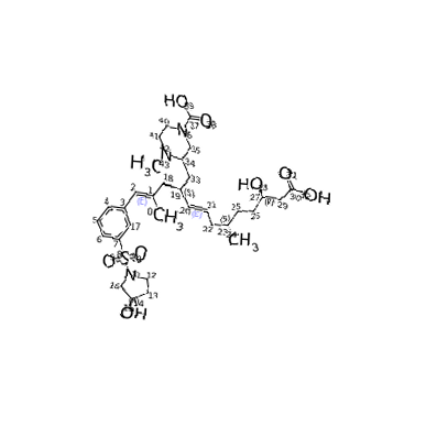 C/C(=C\c1cccc(S(=O)(=O)N2CC[C@@H](O)C2)c1)C[C@H](/C=C/C[C@@H](C)CC[C@@H](O)CC(=O)O)CC1CN(C(=O)O)CCN1C